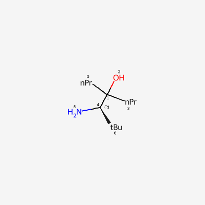 CCCC(O)(CCC)[C@H](N)C(C)(C)C